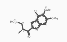 COc1cc2sc(C(=O)[C@@H](C)CC(=O)O)cc2c(F)c1OC